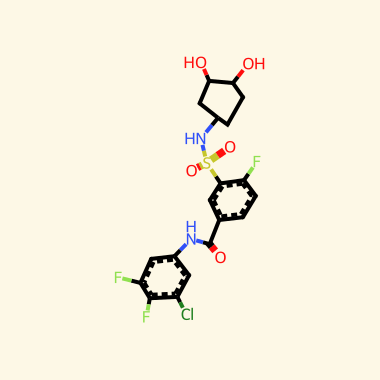 O=C(Nc1cc(F)c(F)c(Cl)c1)c1ccc(F)c(S(=O)(=O)NC2CCC(O)C(O)C2)c1